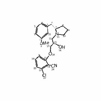 COc1cccc(C[C@@H]2CCCN2C[C@@H](O)COc2cccc(Cl)c2C#N)c1